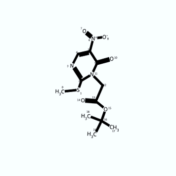 CSc1ncc([N+](=O)[O-])c(=O)n1CC(=O)OC(C)(C)C